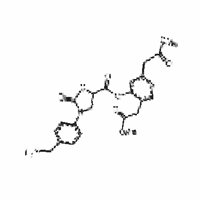 COC(=O)Cc1ccc(CC(=O)OC)c(OC(=O)C2CN(c3ccc(CN)cc3)C(=O)O2)c1